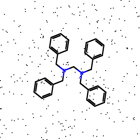 c1ccc(CN(Cc2ccccc2)CN(Cc2ccccc2)Cc2ccccc2)cc1